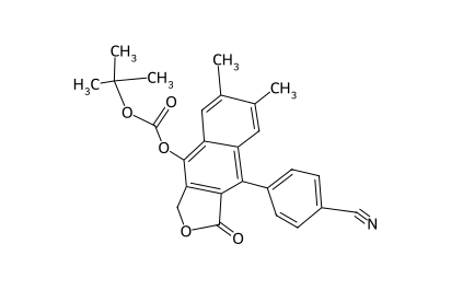 Cc1cc2c(OC(=O)OC(C)(C)C)c3c(c(-c4ccc(C#N)cc4)c2cc1C)C(=O)OC3